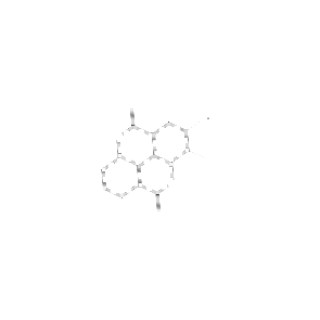 O=c1oc2c(O)c(O)cc3c(=O)oc4cccc1c4c23